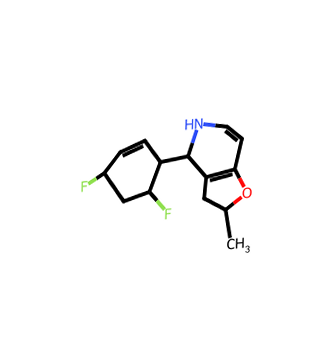 CC1CC2=C(C=CNC2C2C=CC(F)CC2F)O1